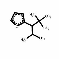 CC(C)C(c1ccco1)C(C)(C)C